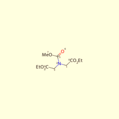 CCOC(=O)CN(CC(=O)OCC)C(=O)OC